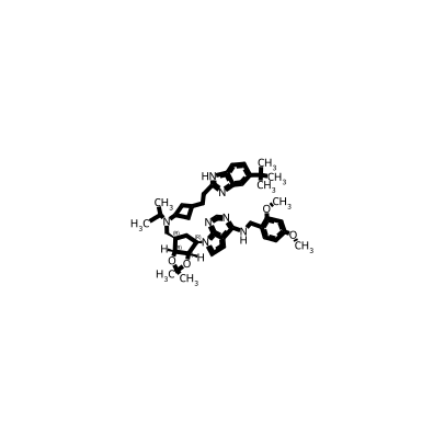 COc1ccc(CNc2ncnc3c2ccn3[C@@H]2C[C@H](CN(C(C)C)C3CC(CCc4nc5cc(C(C)(C)C)ccc5[nH]4)C3)[C@H]3OC(C)(C)O[C@H]32)c(OC)c1